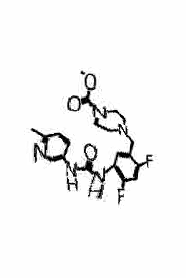 COC(=O)N1CCN(Cc2cc(NC(=O)Nc3ccc(C)nc3)c(F)cc2F)CC1